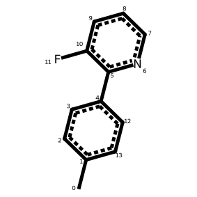 Cc1ccc(-c2ncccc2F)cc1